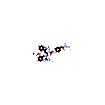 CNC(=O)Cc1ccc(OCC(=O)NC(Cc2c[nH]c3ccccc23)CN(Cc2ccccc2OC)C(C)=O)cc1